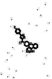 CNC1=C(C=N)C2(CCN(C(=O)c3cc(-c4ccc(F)cc4)no3)CC2)Oc2ccccc21